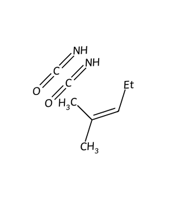 CCC=C(C)C.N=C=O.N=C=O